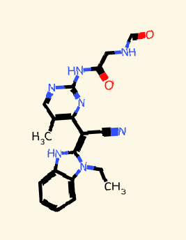 CCN1/C(=C(\C#N)c2nc(NC(=O)CNC=O)ncc2C)Nc2ccccc21